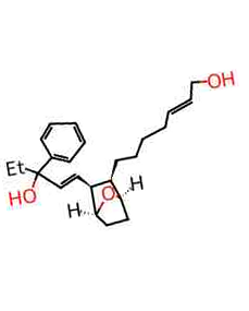 CCC(O)(C=C[C@H]1[C@@H](CCCCC=CCO)[C@H]2CC[C@@H]1O2)c1ccccc1